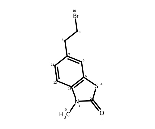 Cn1c(=O)sc2cc(CCBr)ccc21